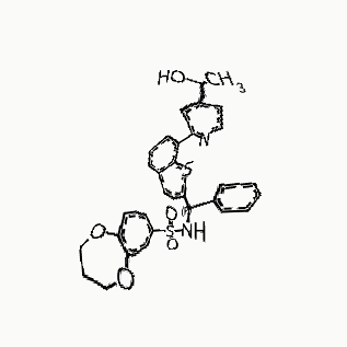 CC(O)c1ccnc(-c2cccc3cc([C@H](NS(=O)(=O)c4ccc5c(c4)OCCCO5)c4ccccc4)sc23)c1